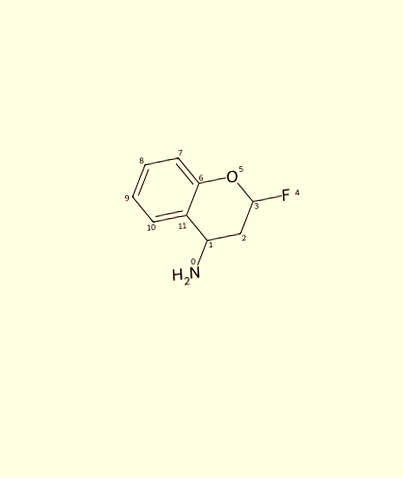 NC1CC(F)Oc2ccccc21